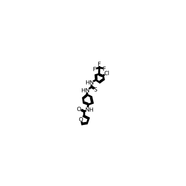 O=C(Nc1ccc(NC(=S)Nc2ccc(Cl)c(C(F)(F)F)c2)cc1)c1ccco1